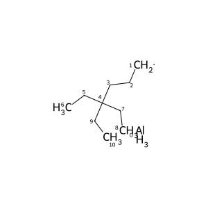 [AlH3].[CH2]CCC(CC)(CC)CC